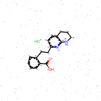 Cl.O=C(O)c1ccccc1CCc1ccc2c(n1)NCCC2